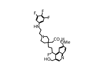 COc1ccc2ncc(CO)c([C@@H](F)CCC3(CC(=O)O)CCN(CCNc4cc(F)c(F)c(F)c4)CC3)c2c1